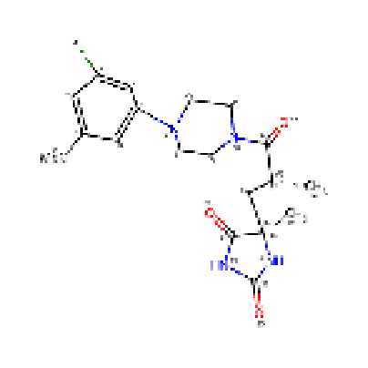 COc1cc(F)cc(N2CCN(C(=O)[C@H](C)C[C@@]3(C)NC(=O)NC3=O)CC2)c1